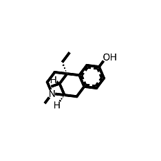 CC[C@]12CCN(C)[C@H](Cc3ccc(O)cc31)[C@@H]2C